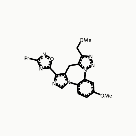 COCc1nnn2c1Cc1c(-c3nc(C(C)C)no3)ncn1-c1ccc(OC)cc1-2